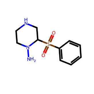 NN1CCNCC1S(=O)(=O)c1ccccc1